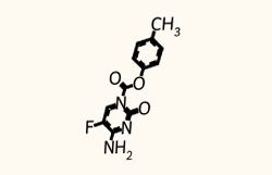 Cc1ccc(OC(=O)n2cc(F)c(N)nc2=O)cc1